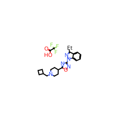 CCc1nn(-c2noc(C3CCN(CC4CCC4)CC3)n2)c2ccccc12.O=C(O)C(F)(F)F